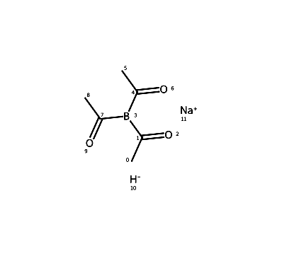 CC(=O)B(C(C)=O)C(C)=O.[H-].[Na+]